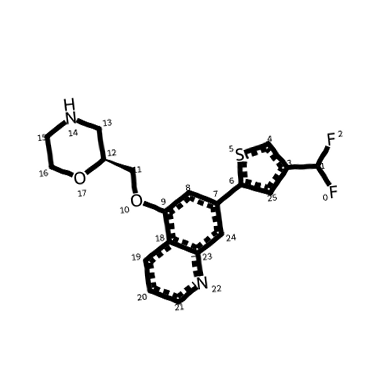 FC(F)c1csc(-c2cc(OC[C@@H]3CNCCO3)c3cccnc3c2)c1